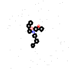 c1ccc(-c2cccc(-c3ccc(N(c4ccc5oc6ccccc6c5c4)c4cccc5c4oc4c6ccccc6ccc54)cc3)c2)cc1